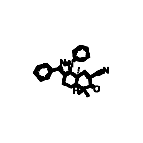 CC1(C)C(=O)C(C#N)=C[C@]2(C)c3c(c(-c4ccccc4)nn3-c3ccccc3)CC[C@@H]12